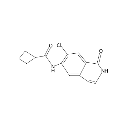 O=C(Nc1cc2cc[nH]c(=O)c2cc1Cl)C1CCC1